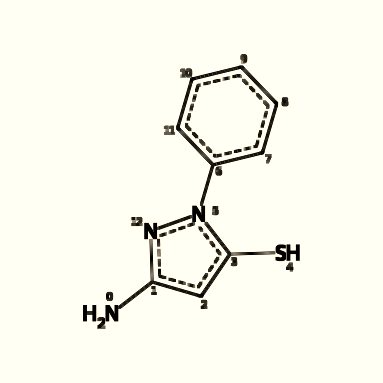 Nc1cc(S)n(-c2ccccc2)n1